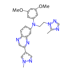 COc1cc(OC)cc(N(CCn2ncnc2C)c2ccc3ncc(-c4cnn(C)c4)nc3c2)c1